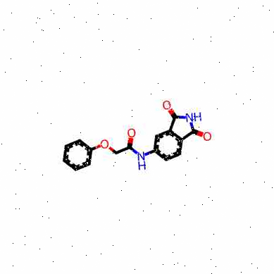 O=C(COc1ccccc1)Nc1ccc2c(c1)C(=O)NC2=O